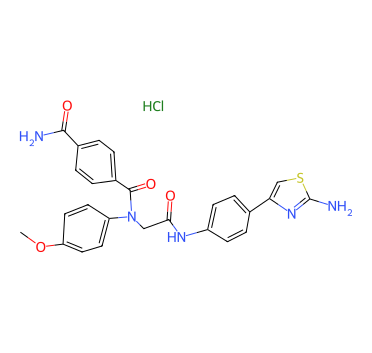 COc1ccc(N(CC(=O)Nc2ccc(-c3csc(N)n3)cc2)C(=O)c2ccc(C(N)=O)cc2)cc1.Cl